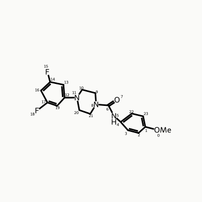 COc1ccc(NC(=O)N2CCN(c3cc(F)cc(F)c3)CC2)cc1